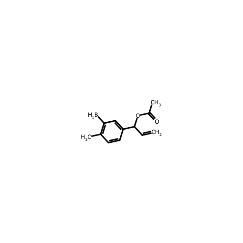 Bc1cc(C(C=C)OC(C)=O)ccc1C